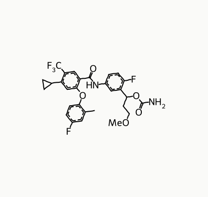 COCCC(OC(N)=O)c1cc(NC(=O)c2cc(C(F)(F)F)c(C3CC3)cc2Oc2ccc(F)cc2C)ccc1F